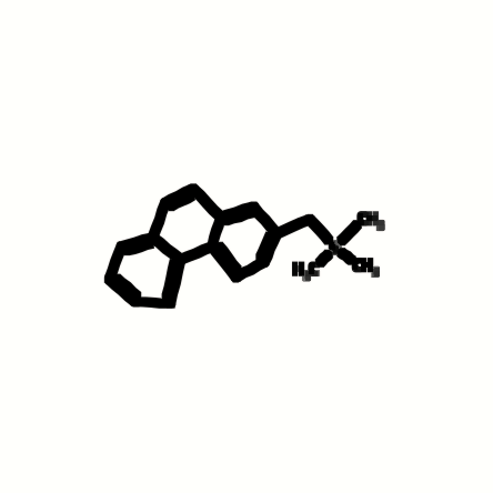 C[Si](C)(C)Cc1ccc2c(ccc3ccccc32)c1